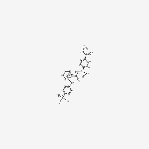 COC(=O)c1ccc(C2(NC(=O)C3C4CCC(CC4)N3Cc3ccc(C(F)(F)F)cc3)CC2)cc1